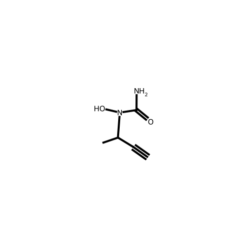 C#CC(C)N(O)C(N)=O